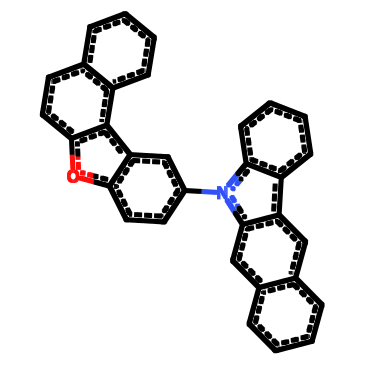 c1ccc2cc3c(cc2c1)c1ccccc1n3-c1ccc2oc3ccc4ccccc4c3c2c1